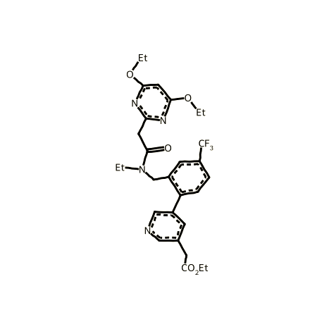 CCOC(=O)Cc1cncc(-c2ccc(C(F)(F)F)cc2CN(CC)C(=O)Cc2nc(OCC)cc(OCC)n2)c1